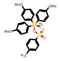 COc1ccc(P(C)(OS(=O)(=O)c2ccc(C)cc2)(c2ccc(OC)cc2)c2ccc(OC)cc2)cc1